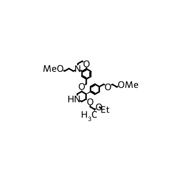 CCO[C@H](C)CO[C@@H]1CNC[C@H](OCc2ccc3c(c2)N(CCCOC)CCO3)[C@H]1C1=CCC(COCCOC)C=C1